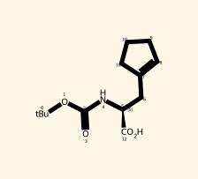 CC(C)(C)OC(=O)N[C@@H](CC1=CCCC1)C(=O)O